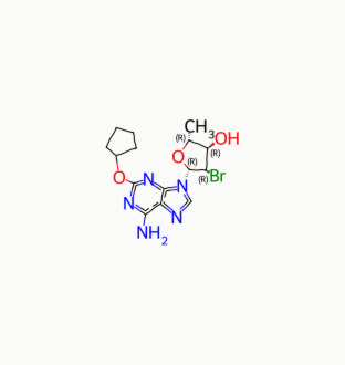 C[C@H]1O[C@@H](n2cnc3c(N)nc(OC4CCCC4)nc32)[C@H](Br)[C@@H]1O